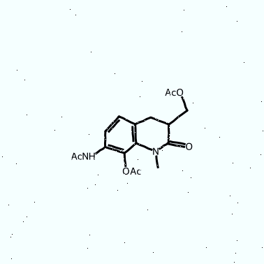 CC(=O)Nc1ccc2c(c1OC(C)=O)N(C)C(=O)C(COC(C)=O)C2